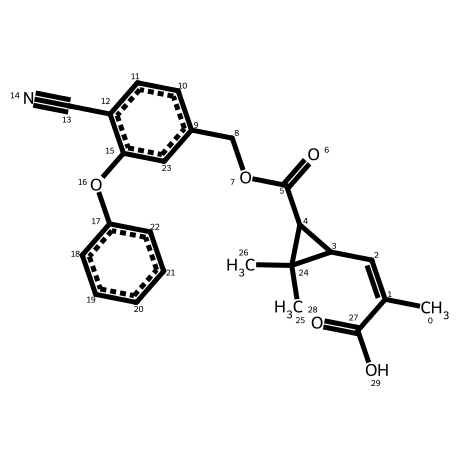 C/C(=C/C1C(C(=O)OCc2ccc(C#N)c(Oc3ccccc3)c2)C1(C)C)C(=O)O